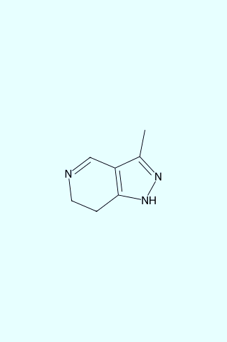 Cc1n[nH]c2c1C=NCC2